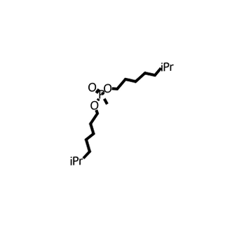 CC(C)CCCCCOP(C)(=O)OCCCCCC(C)C